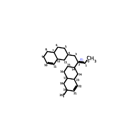 C/C=C(\CC1CCC2CCC=CC2C1)C1CCC2CC(I)C=CC2C1